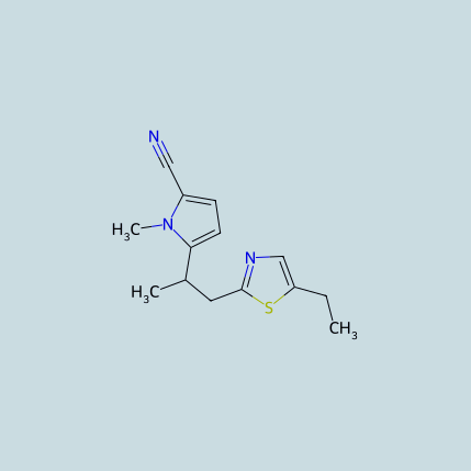 CCc1cnc(CC(C)c2ccc(C#N)n2C)s1